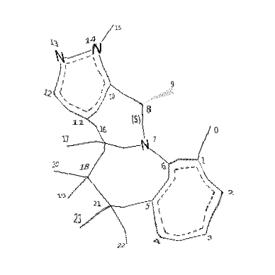 Cc1cccc2c1N1[C@@H](C)c3c(cnn3C)C1(C)C(C)(C)C2(C)C